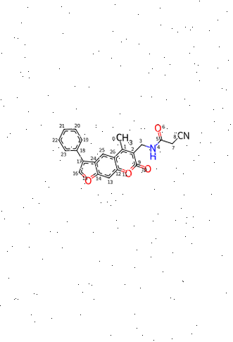 Cc1c(CNC(=O)CC#N)c(=O)oc2cc3occ(-c4ccccc4)c3cc12